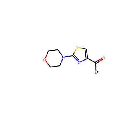 CCC(=O)c1csc(N2CCOCC2)n1